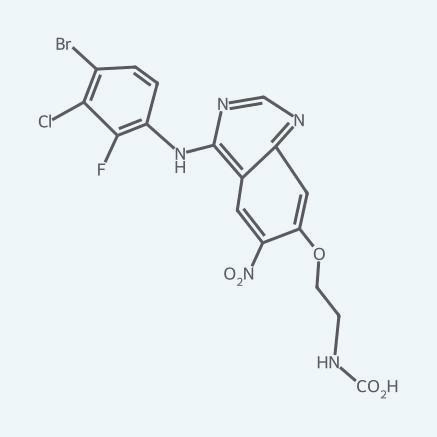 O=C(O)NCCOc1cc2ncnc(Nc3ccc(Br)c(Cl)c3F)c2cc1[N+](=O)[O-]